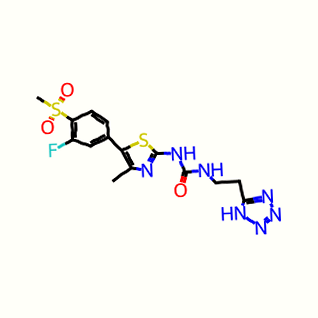 Cc1nc(NC(=O)NCCc2nnn[nH]2)sc1-c1ccc(S(C)(=O)=O)c(F)c1